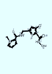 Cn1cccc1C(=O)NCc1cc(Cl)c(C(=O)NO)s1